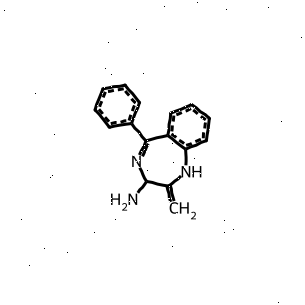 C=C1Nc2ccccc2C(c2ccccc2)=NC1N